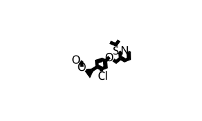 CC(C)Sc1ncccc1COc1ccc(C2CC2OC=O)c(Cl)c1